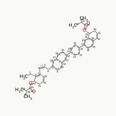 CCC1=C(/C=C\Cc2ccc3cc(-c4ccc(-c5ccc6c(c5)C(OC(=O)C(C)C)CC=C6)cc4)ccc3c2)C=CCC1OC(=O)C(C)C